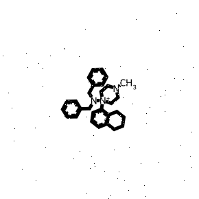 CN1CC[N+](c2cccc3c2CCCC3)(N(Cc2ccccc2)Cc2ccccc2)CC1